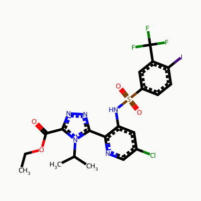 CCOC(=O)c1nnc(-c2ncc(Cl)cc2NS(=O)(=O)c2ccc(I)c(C(F)(F)F)c2)n1C(C)C